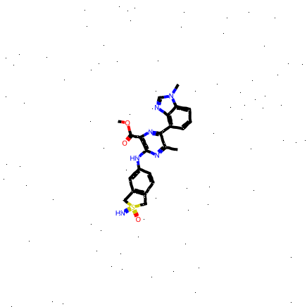 COC(=O)c1nc(-c2cccc3c2ncn3C)c(C)nc1Nc1ccc2c(c1)CS(=N)(=O)C2